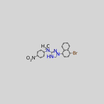 CN(C1=NN(c2ccc(Br)c3ccccc23)CN1)c1ccc([N+](=O)[O-])cc1